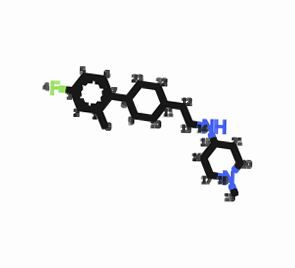 Cc1cc(F)ccc1C1CCC(CCNC2CCN(C)CC2)CC1